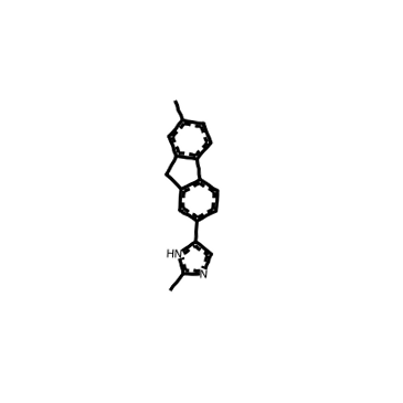 Cc1ccc2c(c1)Cc1cc(-c3cnc(C)[nH]3)ccc1-2